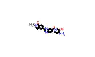 Cn1ccc2cc(-c3cnc4ccc(C(=O)N5CC[C@@H](N)[C@H](O)C5)cc4n3)ccc2c1=O